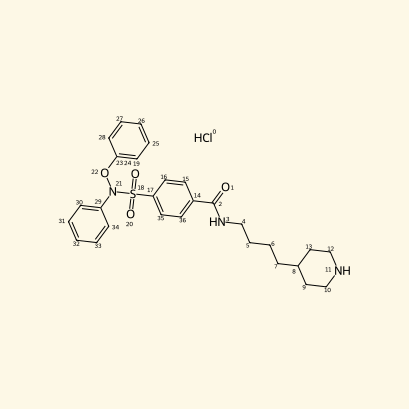 Cl.O=C(NCCCCC1CCNCC1)c1ccc(S(=O)(=O)N(Oc2ccccc2)c2ccccc2)cc1